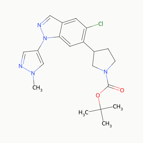 Cn1cc(-n2ncc3cc(Cl)c(C4CCN(C(=O)OC(C)(C)C)C4)cc32)cn1